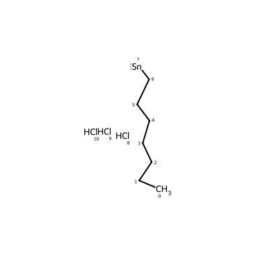 CCCCCC[CH2][Sn].Cl.Cl.Cl